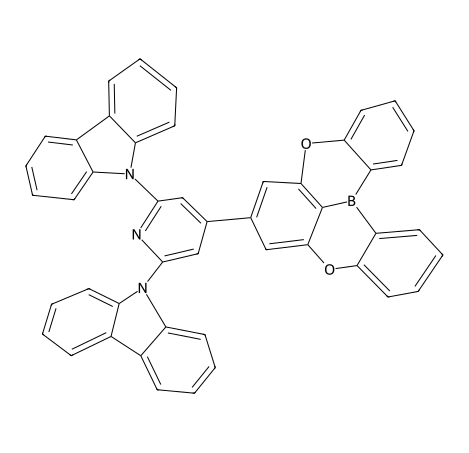 c1ccc2c(c1)Oc1cc(-c3cc(-n4c5ccccc5c5ccccc54)nc(-n4c5ccccc5c5ccccc54)c3)cc3c1B2c1ccccc1O3